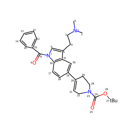 CN(C)CCc1cn(C(=O)c2ccccc2)c2ccc(C3=CCN(C(=O)OC(C)(C)C)CC3)cc12